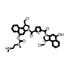 CNCCN(C)C(=O)Oc1cc2c(c3ccccc13)C(CCl)CN2C(=O)c1ccc(C(=O)N2C[C@@H](CCl)c3c2cc(O)c2ccccc32)s1